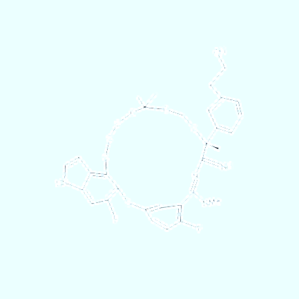 CN/C1=N\C(=N)[C@@](C)(c2cccc(CCO)c2)CCCC(C)(C)CSCCc2c(c(F)cc3[nH]ccc23)Sc2ccc(F)c1c2